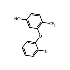 N#Cc1ccc(C(F)(F)F)c(Oc2ccccc2Cl)c1